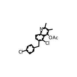 CC(=O)Oc1c(C)c(C)nc2ccc(Cc3ccc(Cl)cc3)c(Cl)c12